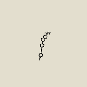 CCCC1CCC2CC(c3ccc(C#Cc4ccc(F)cc4)cc3)CCC2C1